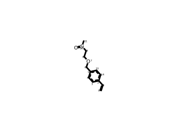 C=Cc1ccc(COCC[Si](C)=O)cc1